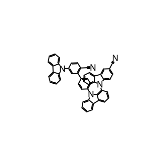 N#Cc1ccc2c(c1)c1ccccc1n2-c1cccc2c3ccccc3n(-c3ccc(-c4cc(-n5c6ccccc6c6ccccc65)ccc4C#N)cc3)c12